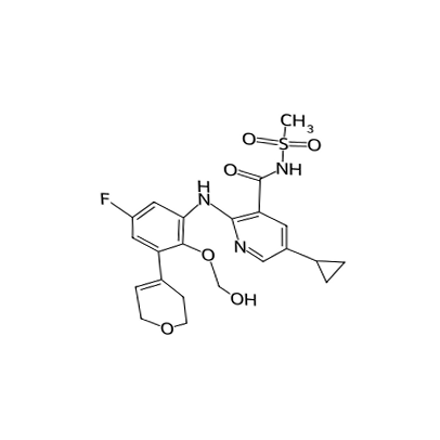 CS(=O)(=O)NC(=O)c1cc(C2CC2)cnc1Nc1cc(F)cc(C2=CCOCC2)c1OCO